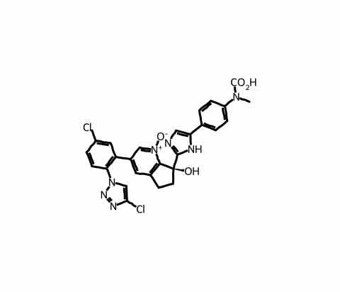 CN(C(=O)O)c1ccc(-c2cnc([C@]3(O)CCc4cc(-c5cc(Cl)ccc5-n5cc(Cl)nn5)c[n+]([O-])c43)[nH]2)cc1